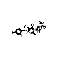 Cc1nc(OCc2ccc(F)cc2F)c(Cl)c(=O)n1-c1cn(S(C)(=O)=O)cn1